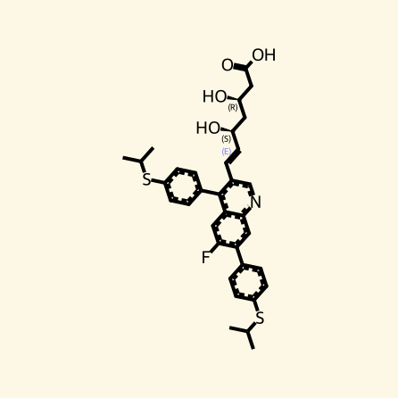 CC(C)Sc1ccc(-c2cc3ncc(/C=C/[C@@H](O)C[C@@H](O)CC(=O)O)c(-c4ccc(SC(C)C)cc4)c3cc2F)cc1